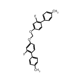 Cc1ccc(-c2ccc(OCOc3ccc(-c4ccc(C)cc4)c(F)c3)cc2F)cc1